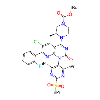 CCCS(=O)(=O)c1nc(C(C)C)c(-n2c(=O)nc(N3CCN(C(=O)OC(C)(C)C)C[C@@H]3C)c3cc(Cl)c(-c4ccccc4F)nc32)c(C(C)C)n1